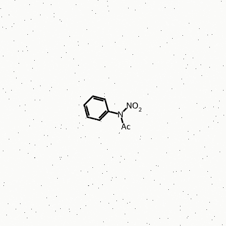 CC(=O)N(c1ccccc1)[N+](=O)[O-]